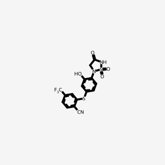 N#Cc1ccc(C(F)(F)F)cc1Sc1ccc(N2CC(=O)NS2(=O)=O)c(O)c1